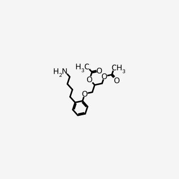 CC(=O)OCC(COc1ccccc1CCCCN)OC(C)=O